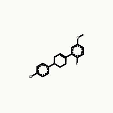 COc1ccc(F)c(C2=CCC(c3ccc(Cl)cc3)CC2)c1